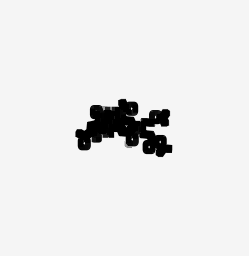 COc1cc(N=Nc2sc(C(C)=O)cc2[N+](=O)[O-])c(NC(C)=O)cc1N(CCOC(C)C)CCC(=O)OC(C)C